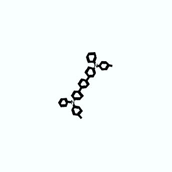 CC1=CCC(N(c2ccccc2)c2ccc(-c3ccc(-c4ccc(N(c5ccccc5)c5ccc(C)cc5)cc4)cc3)cc2)C=C1